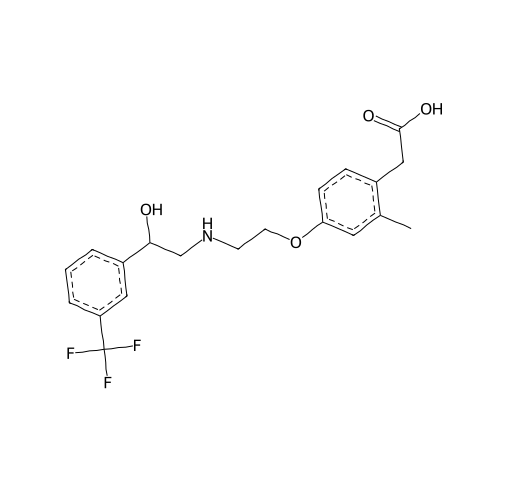 Cc1cc(OCCNCC(O)c2cccc(C(F)(F)F)c2)ccc1CC(=O)O